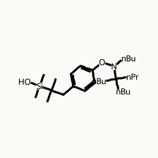 CCCCN(Oc1ccc(CC(C)(C)[Si](C)(C)O)cc1)C(CCC)(CCCC)CCCC